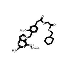 CCCCCNc1nc(N)nc2ccn(Cc3ccc(CC(=O)OCC(=O)OCC4CCCCC4)cc3OC)c12